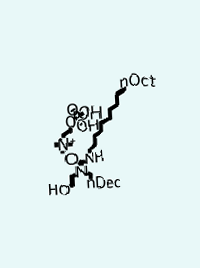 CCCCCCCCC=CCCCCCCCCNC(=O)N(CCO)CCCCCCCCCCC.C[N+](C)(C)CCOP(=O)(O)O